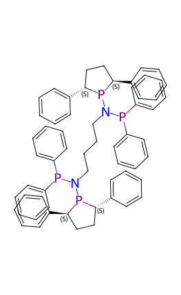 c1ccc([C@@H]2CC[C@@H](c3ccccc3)P2N(CCCCN(P(c2ccccc2)c2ccccc2)P2[C@H](c3ccccc3)CC[C@H]2c2ccccc2)P(c2ccccc2)c2ccccc2)cc1